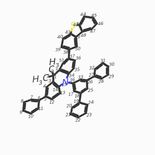 CC1(C)c2cc(-c3ccccc3)ccc2N(c2cc(-c3ccccc3)cc(-c3ccccc3)c2)c2ccc(-c3ccc4sc5ccccc5c4c3)cc21